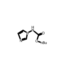 CCCCOC(=O)Nn1ccnc1